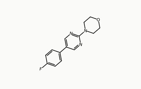 Fc1ccc(-c2cnc(N3CCOCC3)nc2)cc1